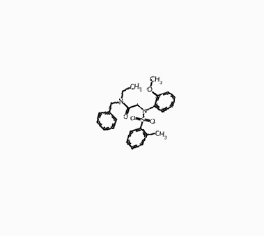 CCN(Cc1ccccc1)C(=O)CN(c1ccccc1OC)S(=O)(=O)c1ccccc1C